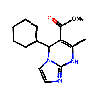 COC(=O)C1=C(C)Nc2nccn2C1C1CCCCC1